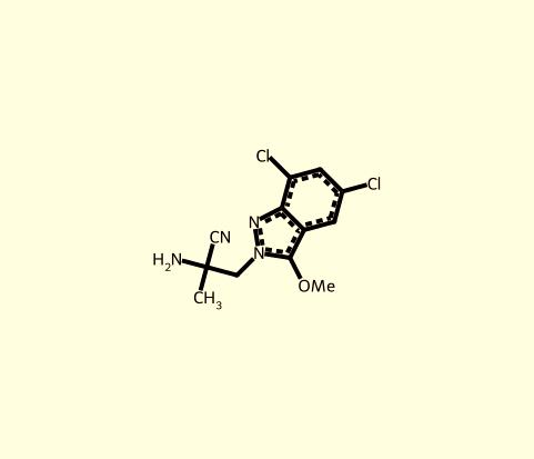 COc1c2cc(Cl)cc(Cl)c2nn1CC(C)(N)C#N